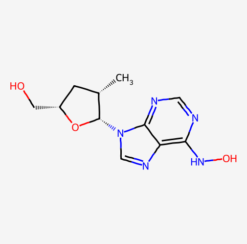 C[C@H]1C[C@@H](CO)O[C@H]1n1cnc2c(NO)ncnc21